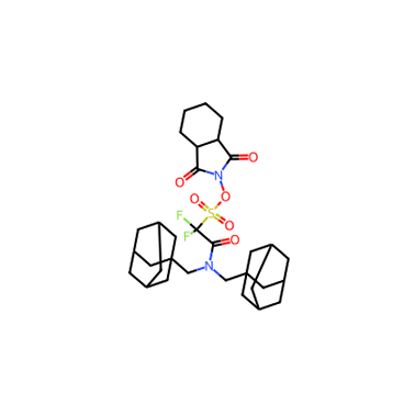 O=C1C2CCCCC2C(=O)N1OS(=O)(=O)C(F)(F)C(=O)N(CC12CC3CC(CC(C3)C1)C2)CC12CC3CC(CC(C3)C1)C2